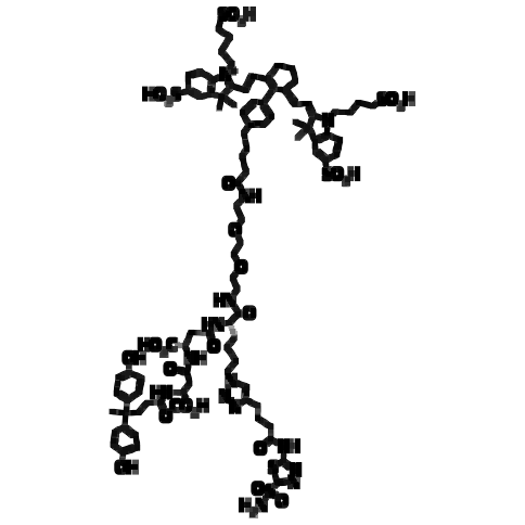 CC1(C)C(/C=C/C2=C(c3ccc(CCCCC(=O)NCCOCCOCCNC(=O)[C@H](CCCCn4cc(CCCC(=O)Nc5nnc(S(N)(=O)=O)s5)nn4)NC(=O)C[C@H](NC(=O)C[C@H](NC(=O)CCC(C)(c4ccc(O)cc4)c4ccc(O)cc4)C(=O)O)C(=O)O)cc3)C(=C/C=C3/N(CCCCS(=O)(=O)O)c4ccc(S(=O)(=O)O)cc4C3(C)C)/CCC2)=[N+](CCCCS(=O)(=O)O)c2ccc(S(=O)(=O)O)cc21